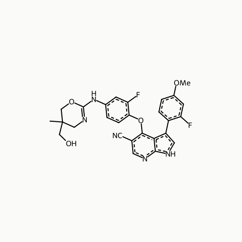 COc1ccc(-c2c[nH]c3ncc(C#N)c(Oc4ccc(NC5=NCC(C)(CO)CO5)cc4F)c23)c(F)c1